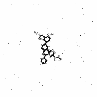 COc1ccc(-c2ccc3nc(-c4ccccc4)n(CC(=O)NCC(C)C)c(=O)c3c2)cc1CN(C)C